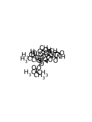 CO[C@@H]1C(O[Si](C)(C)C(C)(C)C)C2(CC2P(=O)(OCOC(=O)C(C)(C)C)OCOC(=O)C(C)(C)C)O[C@H]1n1ccc(=O)[nH]c1=O